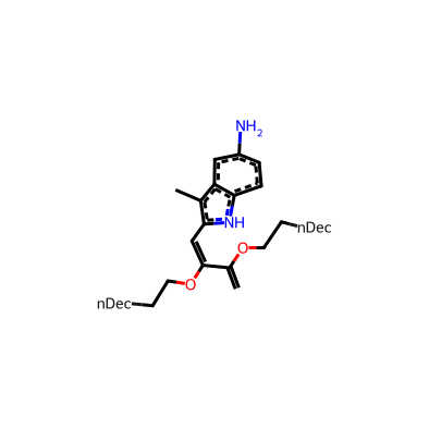 C=C(OCCCCCCCCCCCC)/C(=C\c1[nH]c2ccc(N)cc2c1C)OCCCCCCCCCCCC